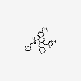 Cc1ccc(C(C(=O)NCC2CCCO2)N(CC2CCCCC2)C(=O)Cc2c[nH]cn2)cc1